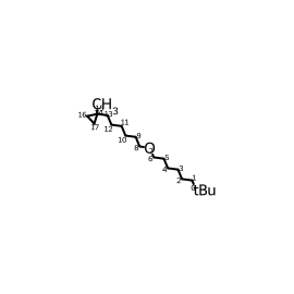 CC(C)(C)CCCCCCOCCCCCCC1(C)CC1